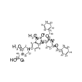 C[C@H]1CN(c2ccc3c(c2)n(C)c(=O)n3-c2ccc(OCc3ccccc3)nc2OCc2ccccc2)CC[C@@H]1CC(=O)O